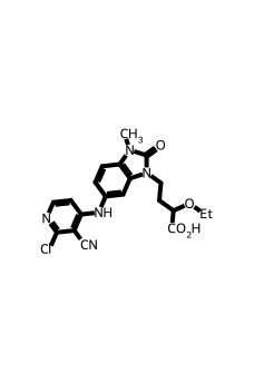 CCOC(CCn1c(=O)n(C)c2ccc(Nc3ccnc(Cl)c3C#N)cc21)C(=O)O